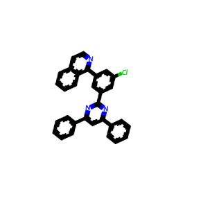 Clc1cc(-c2nc(-c3ccccc3)cc(-c3ccccc3)n2)cc(-c2nccc3ccccc23)c1